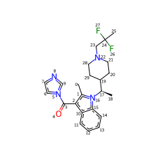 Cc1c(C(=O)n2ccnc2)c2ccccc2n1[C@H](C)C1CCN(CC(C)(F)F)CC1